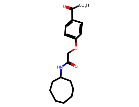 O=C(COc1ccc(C(=O)C(=O)O)cc1)NC1CCCCCCC1